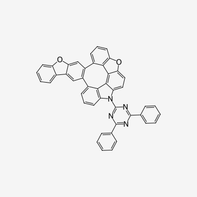 c1ccc(-c2nc(-c3ccccc3)nc(-n3c4cccc5c6cc7c(cc6c6cccc8oc9ccc3c(c9c86)c54)oc3ccccc37)n2)cc1